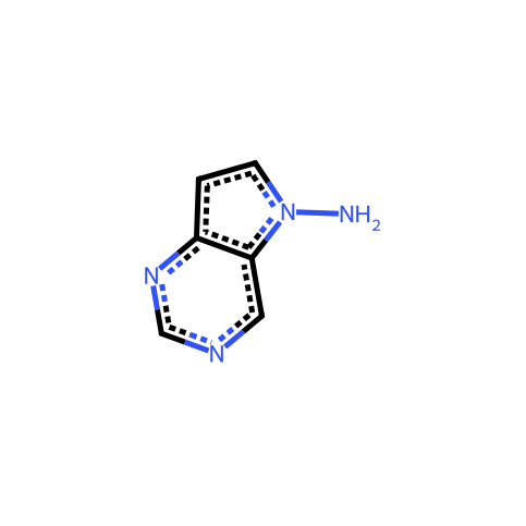 Nn1ccc2ncncc21